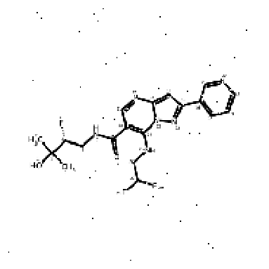 CC(C)(O)[C@H](F)CNC(=O)c1cnc2cc(-c3cccnc3)nn2c1NCC(F)F